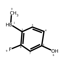 CBc1ccc(O)cc1F